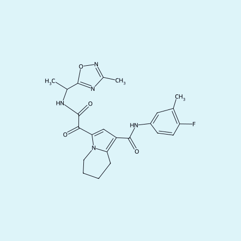 Cc1noc(C(C)NC(=O)C(=O)c2cc(C(=O)Nc3ccc(F)c(C)c3)c3n2CCCC3)n1